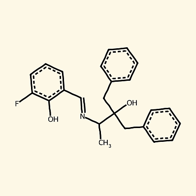 CC(N=Cc1cccc(F)c1O)C(O)(Cc1ccccc1)Cc1ccccc1